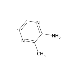 Cc1n[c]cnc1N